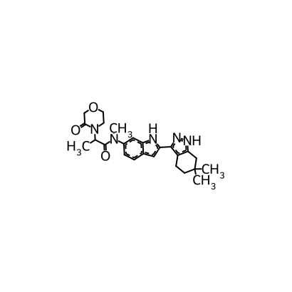 CC(C(=O)N(C)c1ccc2cc(-c3n[nH]c4c3CCC(C)(C)C4)[nH]c2c1)N1CCOCC1=O